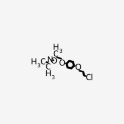 CC(C)=NOC(C)COc1ccc(OCC=CCl)cc1